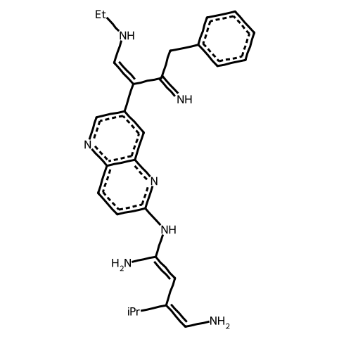 CCN/C=C(\C(=N)Cc1ccccc1)c1cnc2ccc(N/C(N)=C/C(=C\N)C(C)C)nc2c1